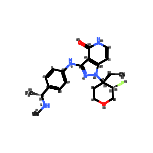 CC(C)(C)N[C@@H](c1ccc(Nc2nn([C@@]3(CC#N)CCOC[C@H]3F)c3cc[nH]c(=O)c23)cc1)C(F)(F)F